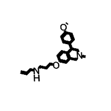 C=CCNCCCOc1ccc2c(c1)CN(C)CC2c1ccc(OC)cc1